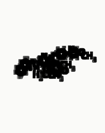 COc1ccc(-c2ccc(Cn3c(CC(C)(C)C(=O)O)c(SC(C)(C)C)c4cc(OCc5ccc6ccccc6n5)cnc43)cc2)nc1